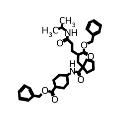 CC(C)NC(=O)CCC(CC1(C(=O)NC2CCC(C(=O)OCc3ccccc3)CC2)CCCC1)C(=O)OCc1ccccc1